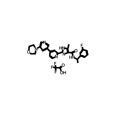 Cc1[nH]c(-c2cc(-c3cncc(N4CCOCC4)c3)ccn2)nc1C(=O)NC(C)c1cccc(F)c1.O=C(O)C(F)(F)F